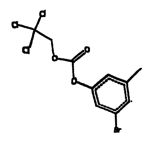 Cc1[c]c(Br)cc(OC(=O)OCC(Cl)(Cl)Cl)c1